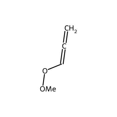 C=C=COOC